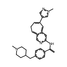 C=C(Nc1cc2c(cn1)=CCC=C(c1cnn(C)c1)C=2)c1ccc(CC2CCN(C)CC2)cc1